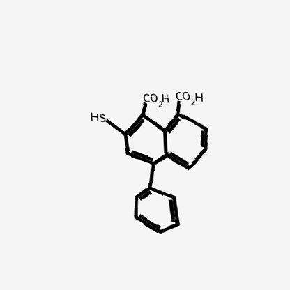 O=C(O)c1cccc2c(-c3ccccc3)cc(S)c(C(=O)O)c12